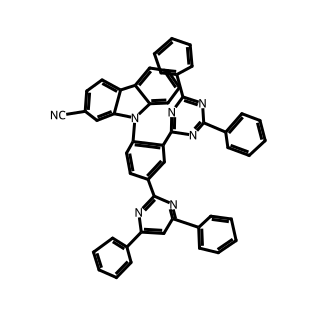 N#Cc1ccc2c3ccccc3n(-c3ccc(-c4nc(-c5ccccc5)cc(-c5ccccc5)n4)cc3-c3nc(-c4ccccc4)nc(-c4ccccc4)n3)c2c1